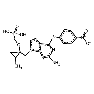 CC1CC1(Cn1cnc2c(Sc3ccc([N+](=O)[O-])cc3)nc(N)nc21)OCP(=O)(O)O